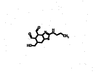 CCCNC1=NC2C(CC(CO)C(C=O)C2C=O)S1